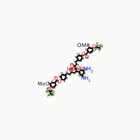 COc1cc(C(=O)Oc2ccc(/C=C/C(=O)CC(c3cc(N)cc(N)c3)C(O)(O)C(=O)/C=C/c3ccc(OC(=O)c4ccc(OC(F)(F)C(F)F)c(OC)c4)cc3)cc2)ccc1OC(F)(F)C(F)F